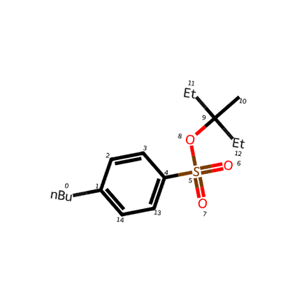 CCCCc1ccc(S(=O)(=O)OC(C)(CC)CC)cc1